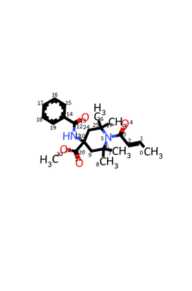 C/C=C/C(=O)N1C(C)(C)CC(NC(=O)c2ccccc2)(C(=O)OC)CC1(C)C